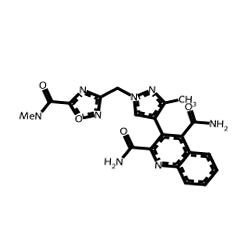 CNC(=O)c1nc(Cn2cc(-c3c(C(N)=O)nc4ccccc4c3C(N)=O)c(C)n2)no1